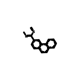 C=N/C(=N\C)c1ccc2ccc3ccccc3c2c1